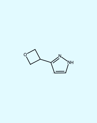 [c]1c[nH]nc1C1COC1